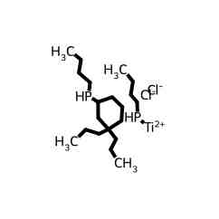 CCCCPC1CCCC(CCC)(CCC)C1.CCCC[PH][Ti+2].[Cl-].[Cl-]